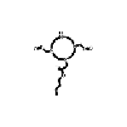 CCCCOC(=O)CN1CCN(CP=O)CCNCCN(CP=O)CC1